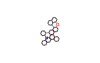 c1ccc(-c2ccccc2-c2ccccc2-c2ccccc2N(c2ccccc2)c2cccc(-c3ccc4c(c3)-c3cccc5cccc(c35)O4)c2)cc1